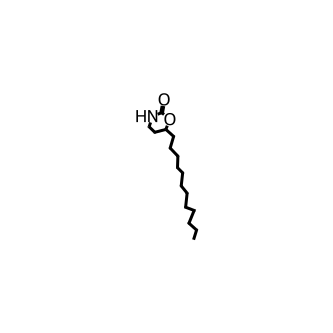 CCCCCCCCCCCCC1CCNC(=O)O1